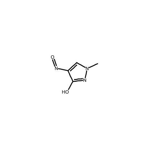 Cn1cc(N=O)c(O)n1